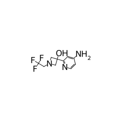 Nc1ccnc(C2(O)CN(CC(F)(F)F)C2)c1